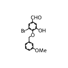 COc1cccc(COc2c(O)cc(C=O)cc2Br)c1